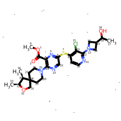 COC(=O)c1nc(Sc2ccnc(N3CC(C(C)O)C3)c2Cl)cnc1N1CCC2(CC1)CO[C@@H](C)[C@H]2C